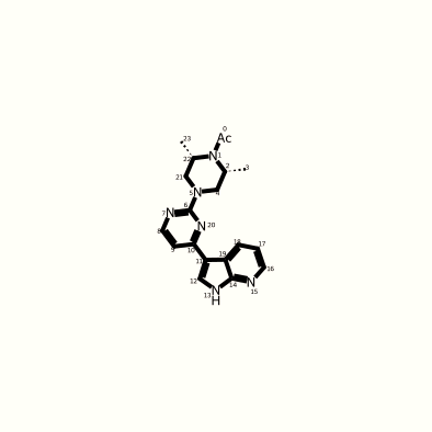 CC(=O)N1[C@H](C)CN(c2nccc(-c3c[nH]c4ncccc34)n2)C[C@@H]1C